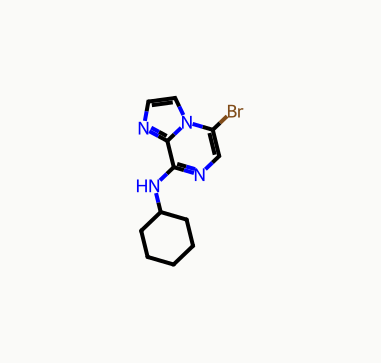 Brc1cnc(NC2CCCCC2)c2nccn12